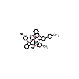 Cc1ccc(-c2ccc3c(c2)c2ccccc2n3-c2ccc(C#N)cc2-c2nc(-c3ccccc3)nc(-c3cc(C#N)ccc3-n3c4ccccc4c4cc(-c5ccc(C)cc5)ccc43)n2)cc1